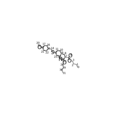 CCCCOC(=O)c1cc2ccc(SCc3ccc(OC)cc3)cc2nc1OCCCC